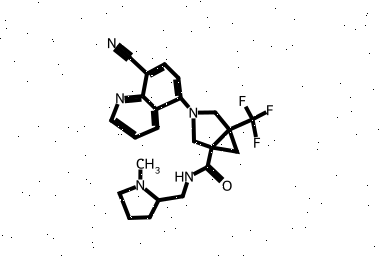 CN1CCCC1CNC(=O)C12CN(c3ccc(C#N)c4ncccc34)CC1(C(F)(F)F)C2